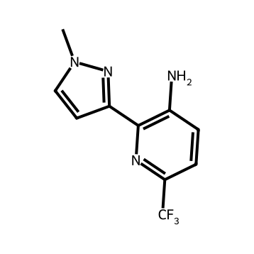 Cn1ccc(-c2nc(C(F)(F)F)ccc2N)n1